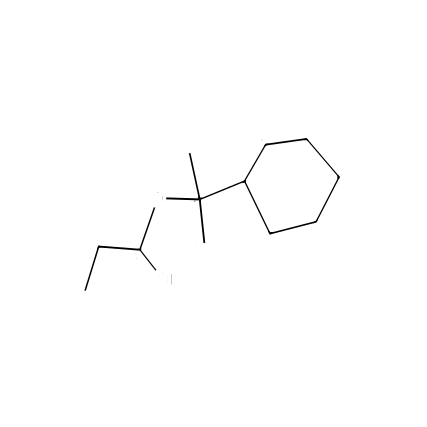 CCC(O)OC(C)(C)C1CCCCC1